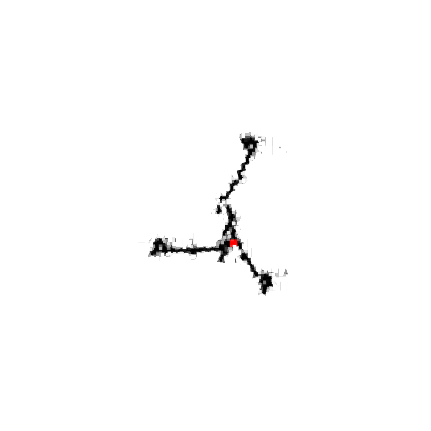 CC(=O)NC1C(OCCCCCC(=O)NCCCCCC(=O)N(CCO)CCOP(=O)(O)OCN(CCOP(=O)(O)ON(CCO)C(=O)CCCCCNC(=O)CCCCCOC2OC(CO)C(O)C(O)C2NC(C)=O)C(=O)CCCCCNC(=O)CCCCCOC2OC(CO)C(O)C(O)C2NC(C)=O)OC(CO)C(O)C1O